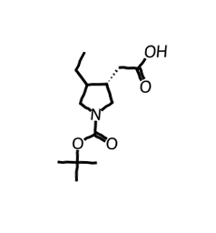 CCC1CN(C(=O)OC(C)(C)C)C[C@H]1CC(=O)O